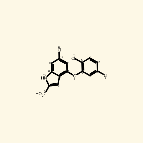 O=C(O)c1cc2c(Oc3cc(Cl)ccc3Cl)cc(Cl)cc2[nH]1